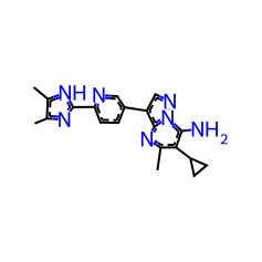 Cc1nc(-c2ccc(-c3cnn4c(N)c(C5CC5)c(C)nc34)cn2)[nH]c1C